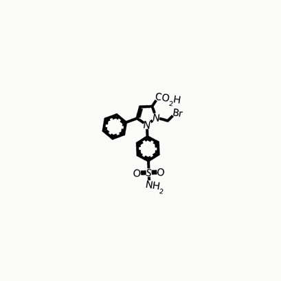 NS(=O)(=O)c1ccc(N2C(c3ccccc3)=CC(C(=O)O)N2CBr)cc1